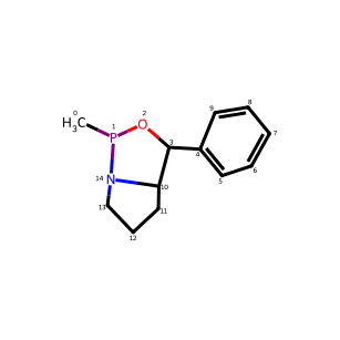 CP1OC(c2ccccc2)C2CCCN21